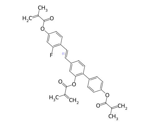 C=C(C)C(=O)Oc1ccc(-c2ccc(/C=C/c3ccc(OC(=O)C(=C)C)cc3F)cc2OC(=O)C(=C)C)cc1